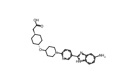 Nc1ccc2[nH]c(-c3ccc(N4CCC(O[C@H]5CC[C@H](CC(=O)O)CC5)CC4)nc3)nc2c1